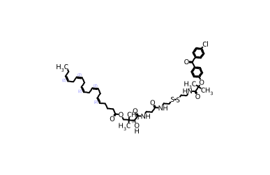 CC/C=C\C/C=C\C/C=C\C/C=C\C/C=C\CCCC(=O)OCC(C)(C)[C@@H](O)C(=O)NCCC(=O)NCCSSCCNC(=O)C(C)(C)Oc1ccc(C(=O)c2ccc(Cl)cc2)cc1